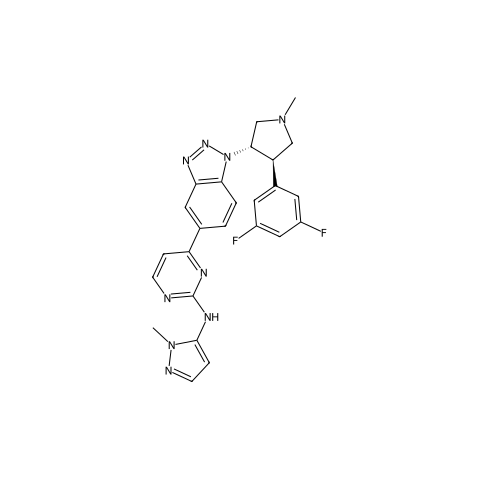 CN1C[C@@H](n2nnc3cc(-c4ccnc(Nc5ccnn5C)n4)ccc32)[C@H](c2cc(F)cc(F)c2)C1